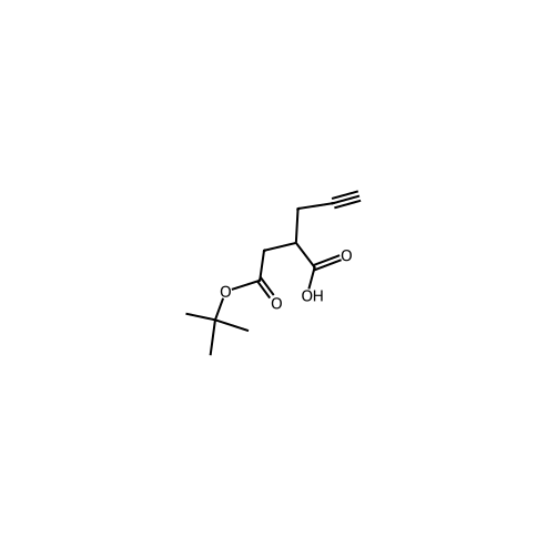 C#CCC(CC(=O)OC(C)(C)C)C(=O)O